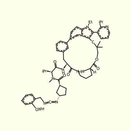 CCn1c(-c2cccnc2C(C)C)c2c3cc(ccc31)-c1cccc(c1)C[C@H](NC(=O)[C@H](C(C)C)N(C)C(=O)[C@H]1CC[C@H](N=C=NCc3ccccc3OC)C1)C(=O)N1CCC[C@H](N1)C(=O)OCC(C)(C)C2